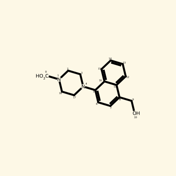 O=C(O)N1CCN(c2ccc(CO)c3ccccc23)CC1